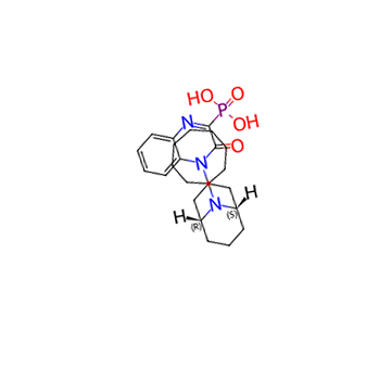 O=c1c(P(=O)(O)O)nc2ccccc2n1C1C[C@H]2CCC[C@@H](C1)N2C1CCCCCCC1